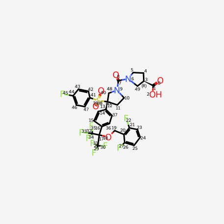 O=C(O)[C@@H]1CCN(C(=O)N2CC[C@](c3ccc(C(OCc4c(F)cccc4F)(C(F)(F)F)C(F)(F)F)cc3)(S(=O)(=O)c3ccc(F)cc3)C2)C1